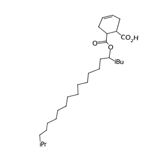 CCC(C)C(CCCCCCCCCCCCCC(C)C)OC(=O)C1CC=CCC1C(=O)O